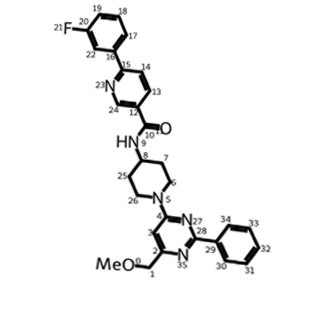 COCc1cc(N2CCC(NC(=O)c3ccc(-c4cccc(F)c4)nc3)CC2)nc(-c2ccccc2)n1